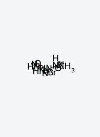 CN1CCCC1C(=O)NCCCNc1nc(Nc2cccc(NC(=O)N3CCCC3)c2)ncc1Br